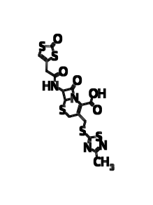 Cc1nsc(SCC2=C(C(=O)O)N3C(=O)C(NC(=O)Cc4csc(=O)s4)C3SC2)n1